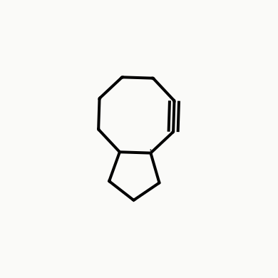 C1#C[C]2CCCC2CCCC1